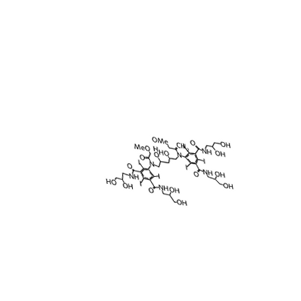 C=C(COC)N(CC(O)CC(O)CN(C(=O)COC)c1c(I)c(C(=O)NCC(O)CO)c(I)c(C(=O)NCC(O)CO)c1I)c1c(I)c(C(=O)NCC(O)CO)c(I)c(C(=O)NCC(O)CO)c1I